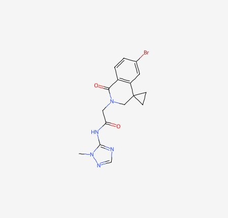 Cn1ncnc1NC(=O)CN1CC2(CC2)c2cc(Br)ccc2C1=O